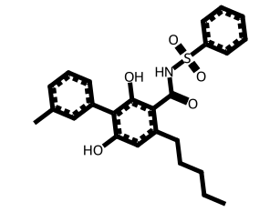 CCCCCc1cc(O)c(-c2cccc(C)c2)c(O)c1C(=O)NS(=O)(=O)c1ccccc1